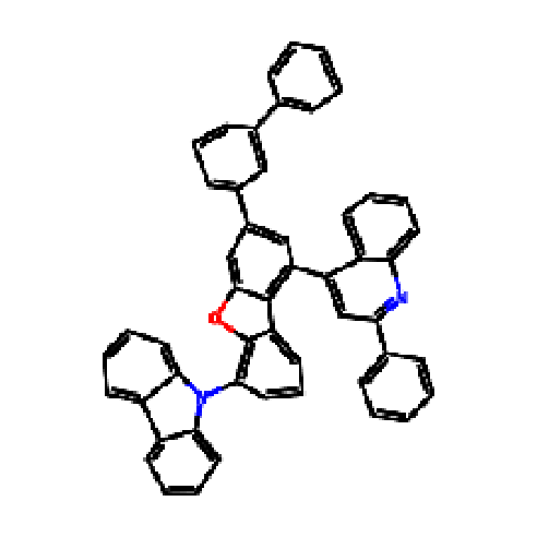 c1ccc(-c2cccc(-c3cc(-c4cc(-c5ccccc5)nc5ccccc45)c4c(c3)oc3c(-n5c6ccccc6c6ccccc65)cccc34)c2)cc1